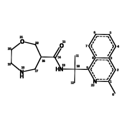 Cc1cc2ccccc2c(C(C)(C)NC(=O)C2CNCCOC2)n1